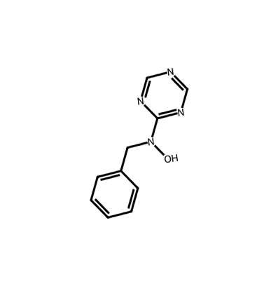 ON(Cc1ccccc1)c1ncncn1